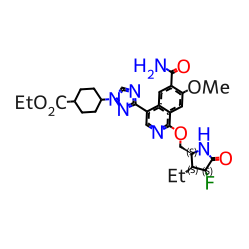 CCOC(=O)C1CCC(n2cnc(-c3cnc(OC[C@H]4NC(=O)[C@@H](F)[C@H]4CC)c4cc(OC)c(C(N)=O)cc34)n2)CC1